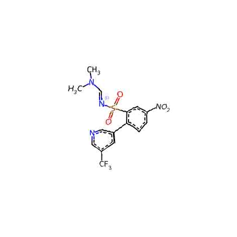 CN(C)/C=N/S(=O)(=O)c1cc([N+](=O)[O-])ccc1-c1cncc(C(F)(F)F)c1